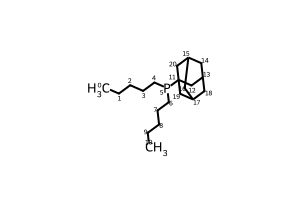 CCCCCP(CCCCC)C12CC3CC(CC(C3)C1)C2